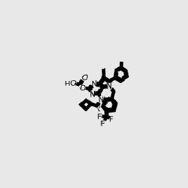 Cc1cccc(-c2c(C)c3nc(OC(=O)O)nc(N[C@H](C)C4CCC4)c3n2Cc2ccc(C(F)(F)F)cc2)c1